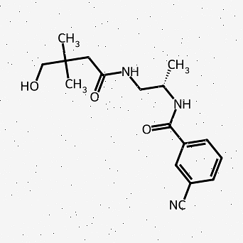 C[C@@H](CNC(=O)CC(C)(C)CO)NC(=O)c1cccc(C#N)c1